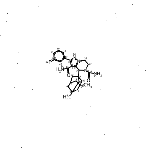 CC12CC3CC(C)(C1)CC(C1c4c(C(N)=O)c(-c5cccc(F)c5)nn4CCN1C(N)=O)(C3)C2